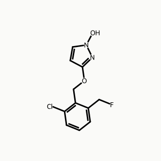 On1ccc(OCc2c(Cl)cccc2CF)n1